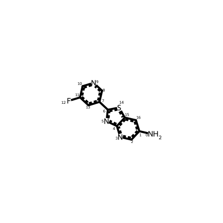 Nc1cnc2nc(-c3cncc(F)c3)sc2c1